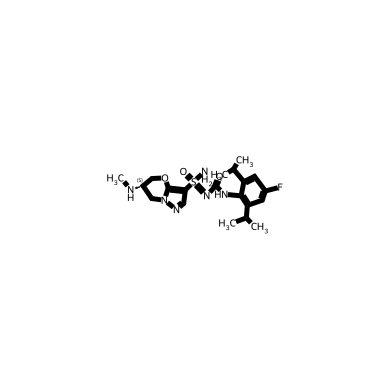 CN[C@@H]1COc2c(S(N)(=O)=NC(=O)Nc3c(C(C)C)cc(F)cc3C(C)C)cnn2C1